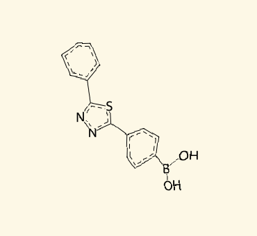 OB(O)c1ccc(-c2nnc(-c3ccccc3)s2)cc1